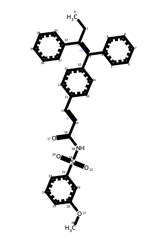 CC/C(=C(\c1ccccc1)c1ccc(/C=C/C(=O)NS(=O)(=O)c2cccc(OC)c2)cc1)c1ccccc1